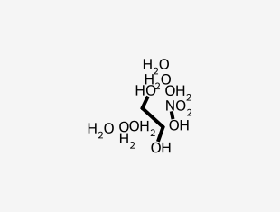 O.O.O.O.O.O.O=[N+]([O-])O.OCCO